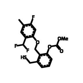 COC(=O)Oc1cccc(CS)c1COc1cc(F)c(C)cc1C(F)F